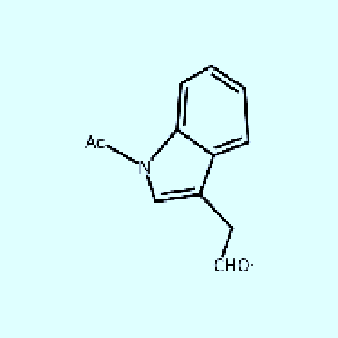 CC(=O)n1cc(C[C]=O)c2ccccc21